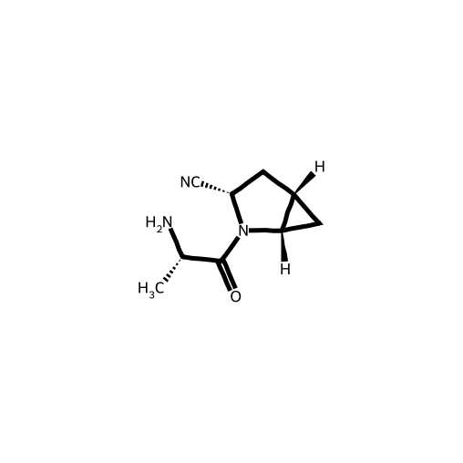 C[C@H](N)C(=O)N1[C@H](C#N)C[C@@H]2C[C@@H]21